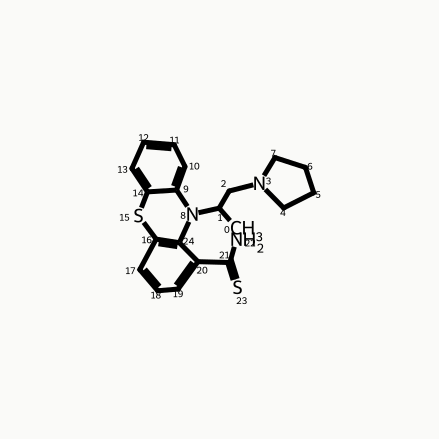 CC(CN1CCCC1)N1c2ccccc2Sc2cccc(C(N)=S)c21